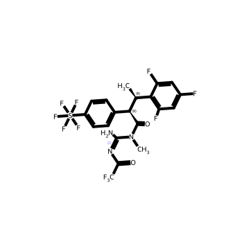 C[C@@H](c1c(F)cc(F)cc1F)[C@@H](C(=O)N(C)/C(N)=N\C(=O)C(F)(F)F)c1ccc(S(F)(F)(F)(F)F)cc1